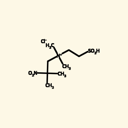 CC(C)(C[N+](C)(C)CCS(=O)(=O)O)[N+](=O)[O-].[Cl-]